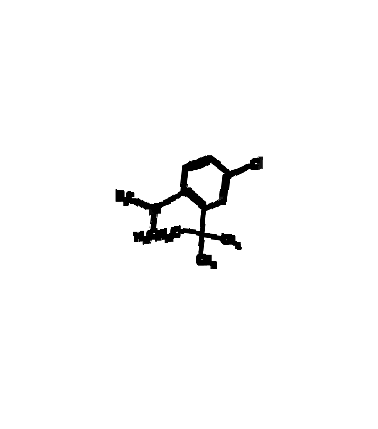 CN(C)c1ccc(Cl)cc1C(C)(C)C